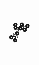 c1ccc(-c2nc3ccc(-n4c5cc(-c6cccc7c8ccccc8n(-c8ccccc8)c67)ccc5c5c6ccccc6ccc54)cc3nc2-c2ccccc2)cc1